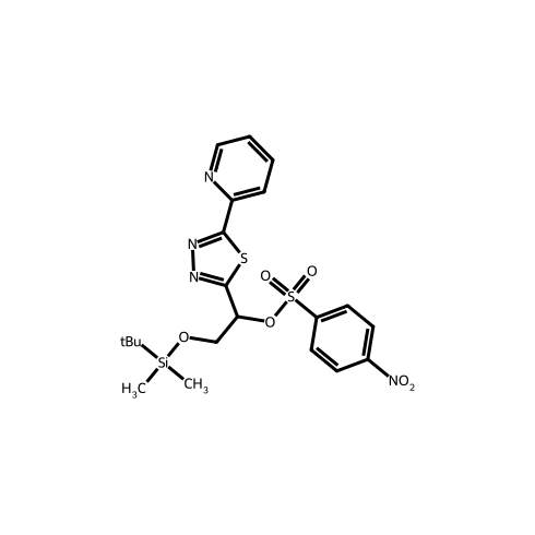 CC(C)(C)[Si](C)(C)OCC(OS(=O)(=O)c1ccc([N+](=O)[O-])cc1)c1nnc(-c2ccccn2)s1